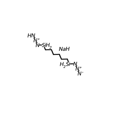 [N-]=[N+]=N[SiH2]CCCCCC[SiH2]N=[N+]=N.[NaH]